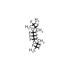 CC(C)(F)C(C)(F)OC(F)(F)C(F)(F)C(F)(F)OC(C)(F)C(C)(F)F